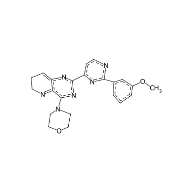 COc1cccc(-c2nccc(-c3nc(N4CCOCC4)c4c(n3)=CCCN=4)n2)c1